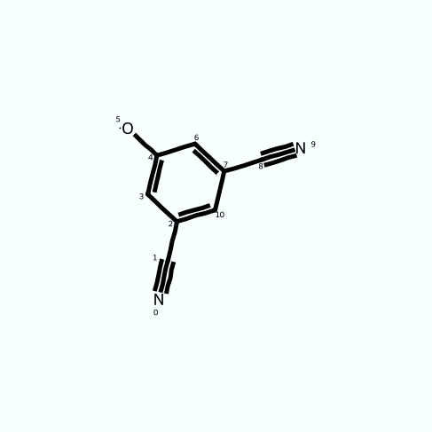 N#Cc1cc([O])cc(C#N)c1